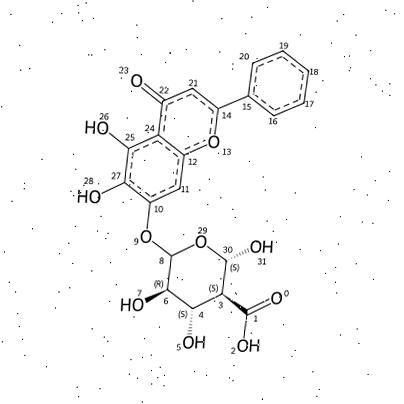 O=C(O)[C@H]1[C@H](O)[C@@H](O)C(Oc2cc3oc(-c4ccccc4)cc(=O)c3c(O)c2O)O[C@@H]1O